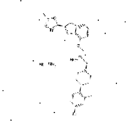 Cc1nnc(-c2cc3c(OC[C@@H](O)CN4CCC(c5ccc(Cl)cc5C)CC4)cccc3o2)o1.Cl.O